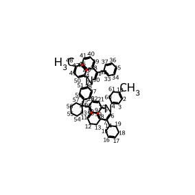 CC1=CC=C(N(/C=C(\C2=CC=CCC2)C2CC=CCC2)C2C=CC(C3(c4ccc(N(C=C(c5ccccc5)c5ccccc5)c5ccc(C)cc5)cc4)CCCCC3)=CC2)CC1